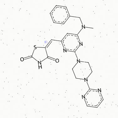 CN(Cc1ccccc1)c1cc(/C=C2/SC(=O)NC2=O)nc(N2CCN(c3ncccn3)CC2)n1